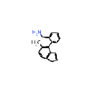 Cc1ccc2c(c1-c1ccccc1CN)C=CC2